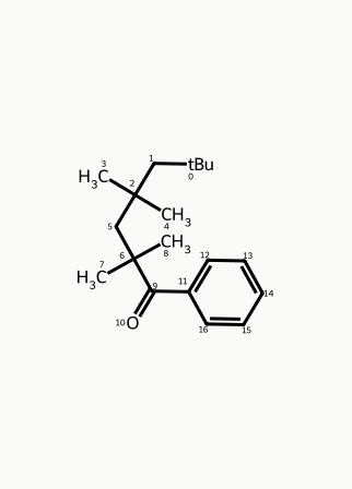 CC(C)(C)CC(C)(C)CC(C)(C)C(=O)c1ccccc1